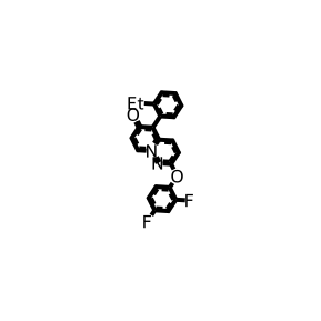 CCc1ccccc1-c1c(=O)ccn2nc(Oc3ccc(F)cc3F)ccc12